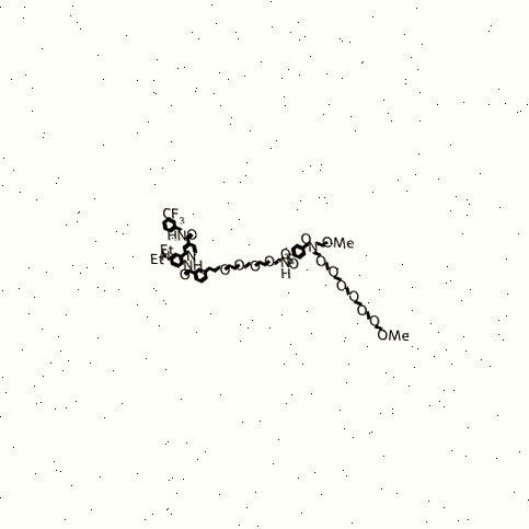 CCN(CC)c1ccc(NC(=O)c2cccc(CCCOCCOCCOCCOCCNS(=O)(=O)c3ccc(C(=O)N(CCOC)CCOCCOCCOCCOCCOCCOCCOC)cc3)c2)c(-c2cc(C(=O)NCc3cccc(C(F)(F)F)c3)ccn2)c1